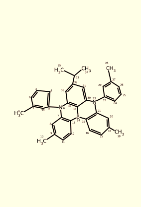 Cc1cccc(N2c3cc(C)ccc3B3c4ccc(C)cc4N(c4cccc(C)c4)c4cc(C(C)C)cc2c43)c1